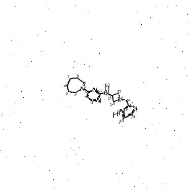 c1cc(N2CCCCCC2)nc(NC2CN(Cc3ncc[nH]3)C2)n1